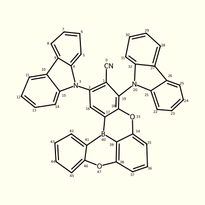 N#Cc1c(-n2c3ccccc3c3ccccc32)cc2c(c1-n1c3ccccc3c3ccccc31)Oc1cccc3c1B2c1ccccc1O3